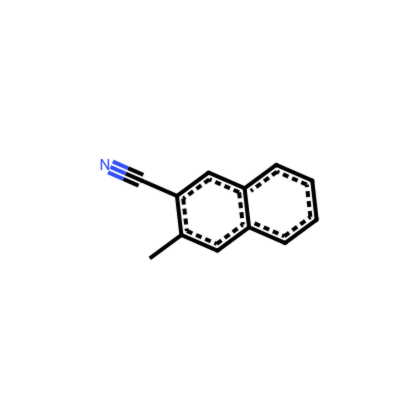 Cc1cc2ccccc2cc1C#N